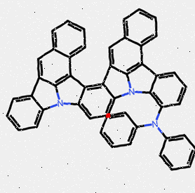 c1ccc(N(c2ccccc2)c2cccc3c4c5ccccc5cc5c6c7c8c9ccccc9cc9c%10ccccc%10n(c7ccc6n(c23)c54)c98)cc1